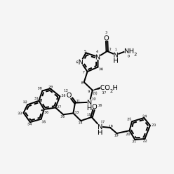 NNC(=O)n1cnc(C[C@H](NC(=O)C(CC(=O)NCCc2ccccc2)Cc2cccc3ccccc23)C(=O)O)c1